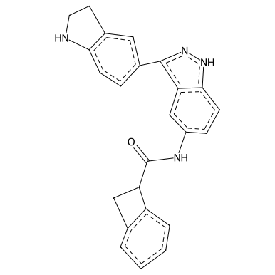 O=C(Nc1ccc2[nH]nc(-c3ccc4c(c3)CCN4)c2c1)C1Cc2ccccc21